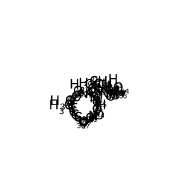 C=C[C@@H]1C[C@]1(NC(=O)[C@@H]1C[C@@H]2CN1C(=O)[C@H](COC(C)(C)C)NC(=O)OCC(C)(C)CCCCc1cccc3c1CN(C3)C(=O)O2)C(=O)NS(=O)(=O)C1CC1